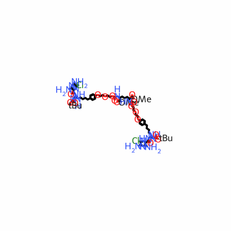 COC(=O)C(CCCC(NC(=O)OCCOCCOc1ccc(CCCCN/C(=N\C(=O)OC(C)(C)C)NC(=O)c2nc(Cl)c(N)nc2N)cc1)C(=O)OC)NC(=O)OCCOCCOc1ccc(CCCCN/C(=N\C(=O)OC(C)(C)C)NC(=O)c2nc(Cl)c(N)nc2N)cc1